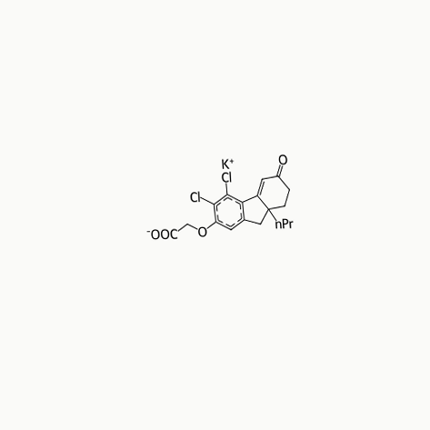 CCCC12CCC(=O)C=C1c1c(cc(OCC(=O)[O-])c(Cl)c1Cl)C2.[K+]